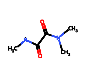 C[N]C(=O)C(=O)N(C)C